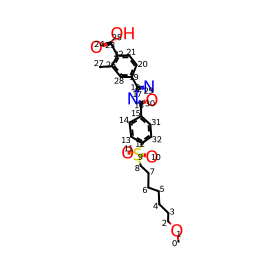 COCCCCCCCS(=O)(=O)c1ccc(-c2nc(-c3ccc(C(=O)O)c(C)c3)no2)cc1